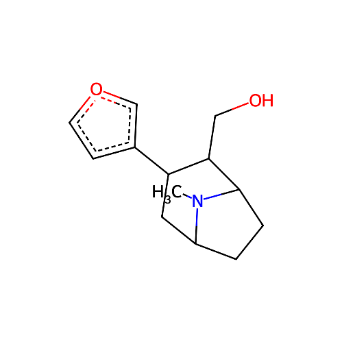 CN1C2CCC1C(CO)C(c1ccoc1)C2